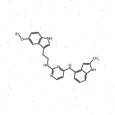 CCOc1ccc2[nH]cc(CCNc3nccc(Nc4cccc5[nH]c(C)cc45)n3)c2c1